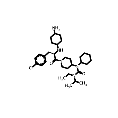 CCN(C(=O)N(C1CCCCC1)C1CCN(C(=O)[C@@H](Cc2ccc(Cl)cc2)NC2CCC(N)CC2)CC1)C(C)C